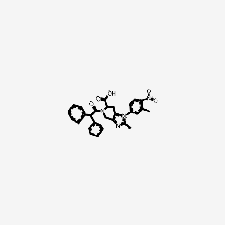 Cc1cc(-n2c(C)nc3c2CC(C(=O)O)N(C(=O)C(c2ccccc2)c2ccccc2)C3)ccc1[N+](=O)[O-]